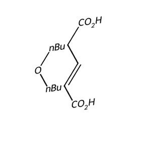 CCCCOCCCC.O=C(O)C=CCC(=O)O